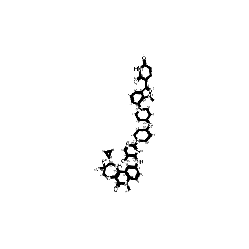 Cn1nc(C2CCC(=O)NC2=O)c2cccc(N3CCC(OC4CCN(c5ncc(Cl)c(Nc6ccc7c(c6)c6c(c(=O)n7C)OCC(F)(F)[C@H](C7CC7)N6)n5)CC4)CC3)c21